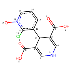 O=C(O)C1=CNC=C(C(=O)O)C1c1ccc[n+]([O-])c1Cl